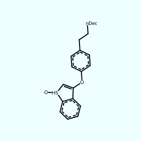 CCCCCCCCCCCCc1ccc(OC2=C[SH]([O])c3ccccc32)cc1